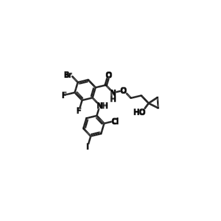 O=C(NOCCC1(O)CC1)c1cc(Br)c(F)c(F)c1Nc1ccc(I)cc1Cl